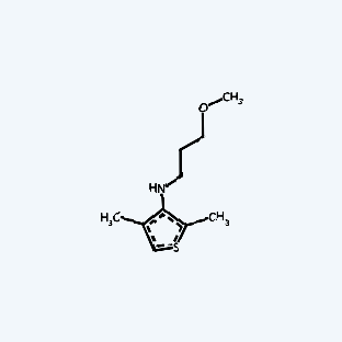 COCCCNc1c(C)csc1C